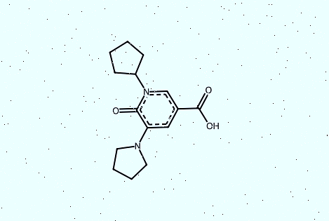 O=C(O)c1cc(N2CCCC2)c(=O)n(C2CCCC2)c1